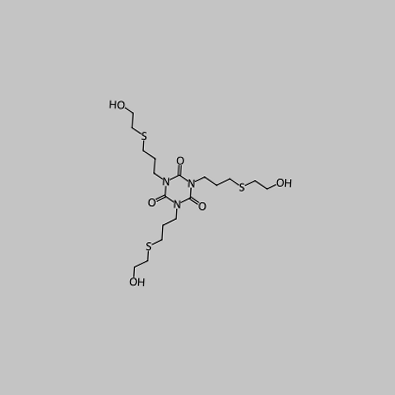 O=c1n(CCCSCCO)c(=O)n(CCCSCCO)c(=O)n1CCCSCCO